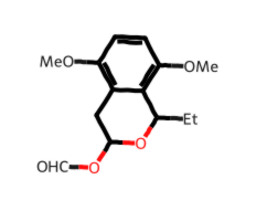 CCC1OC(OC=O)Cc2c(OC)ccc(OC)c21